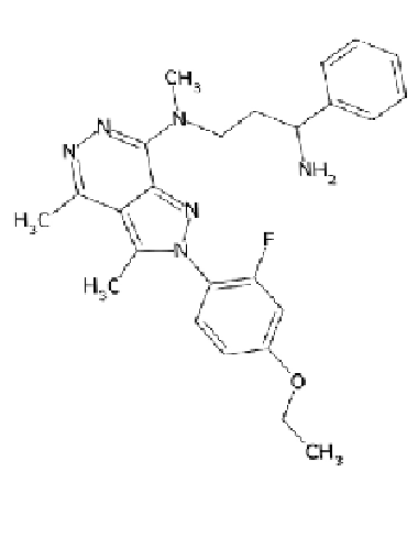 CCOc1ccc(-n2nc3c(N(C)CCC(N)c4ccccc4)nnc(C)c3c2C)c(F)c1